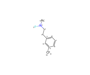 CC(=O)N(F)CCc1cccc(C(F)(F)F)c1